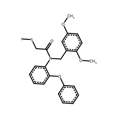 COc1ccc(OC)c(CN(C(=O)CSI)c2ccccc2Oc2ccccc2)c1